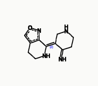 N=C1CCNC/C1=C1/NCCc2conc21